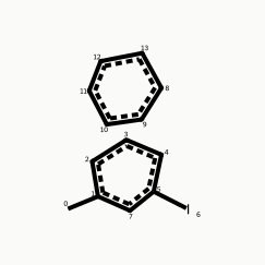 Cc1cccc(I)c1.c1ccccc1